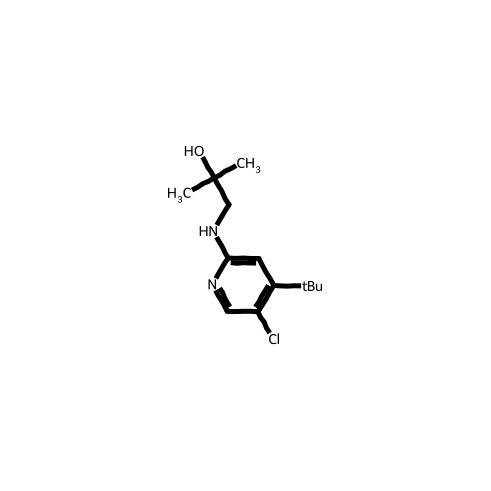 CC(C)(O)CNc1cc(C(C)(C)C)c(Cl)cn1